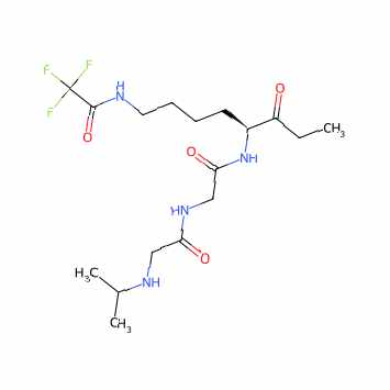 CCC(=O)[C@H](CCCCNC(=O)C(F)(F)F)NC(=O)CNC(=O)CNC(C)C